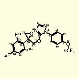 C[C@@H](Oc1ncnn1-c1ccc(OC(F)(F)F)cc1)[C@@]1(c2ccc(F)cc2F)CO1